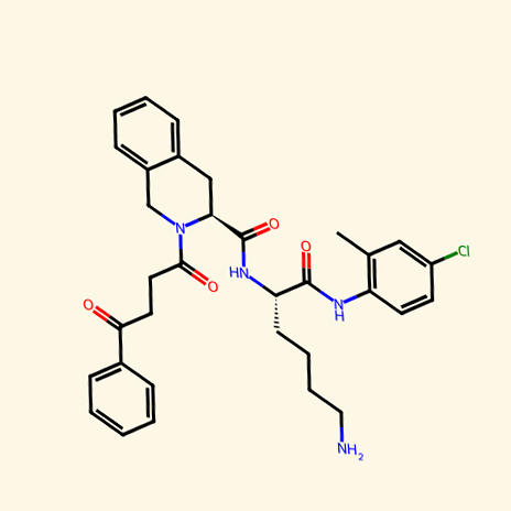 Cc1cc(Cl)ccc1NC(=O)[C@H](CCCCN)NC(=O)[C@@H]1Cc2ccccc2CN1C(=O)CCC(=O)c1ccccc1